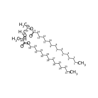 CCCCCCCCCCCCCCCC(=O)OC(C)C.CCCCCCCCCCCCCCOC(=O)C(C)O